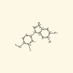 COc1ccc(-c2n[nH]c3cc(F)c(F)cc23)nc1C